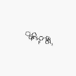 Cn1nccc1-c1ccc(Sc2cccc(C3(C#N)CCCCC3)c2F)c(F)c1